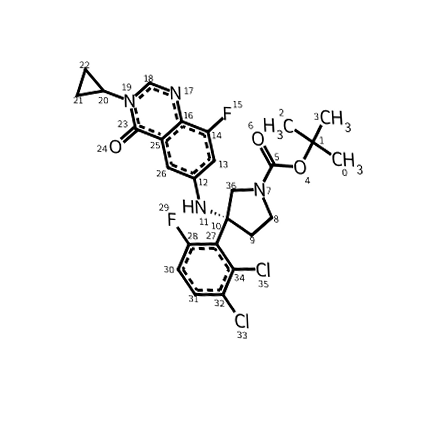 CC(C)(C)OC(=O)N1CC[C@@](Nc2cc(F)c3ncn(C4CC4)c(=O)c3c2)(c2c(F)ccc(Cl)c2Cl)C1